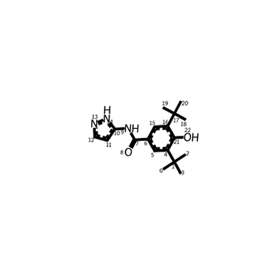 CC(C)(C)c1cc(C(=O)Nc2ccn[nH]2)cc(C(C)(C)C)c1O